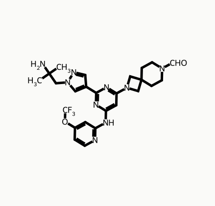 CC(C)(N)Cn1cc(-c2nc(Nc3cc(OC(F)(F)F)ccn3)cc(N3CC4(CCN(C=O)CC4)C3)n2)cn1